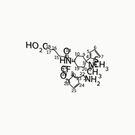 CN(C)C1(c2cccs2)CCC(NC(=O)CCCC(=O)O)CC1.NCc1cccc(OC(F)(F)F)c1